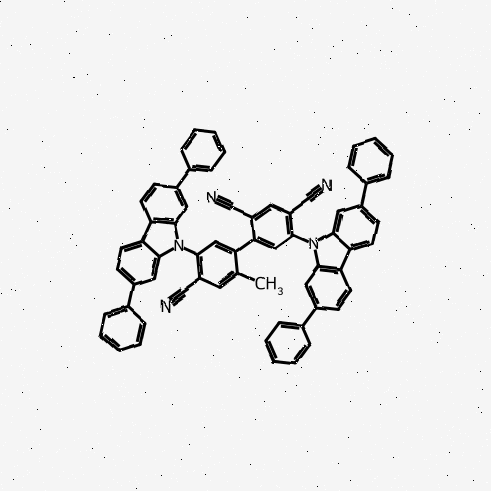 Cc1cc(C#N)c(-n2c3cc(-c4ccccc4)ccc3c3ccc(-c4ccccc4)cc32)cc1-c1cc(-n2c3cc(-c4ccccc4)ccc3c3ccc(-c4ccccc4)cc32)c(C#N)cc1C#N